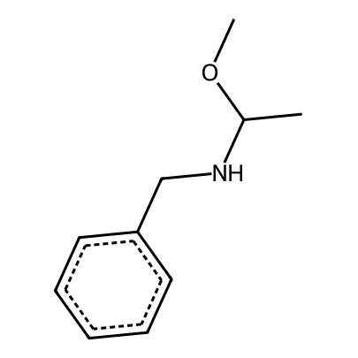 COC(C)NCc1ccccc1